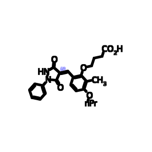 CCCOc1ccc(/C=C2/C(=O)NN(c3ccccc3)C2=O)c(OCCCC(=O)O)c1C